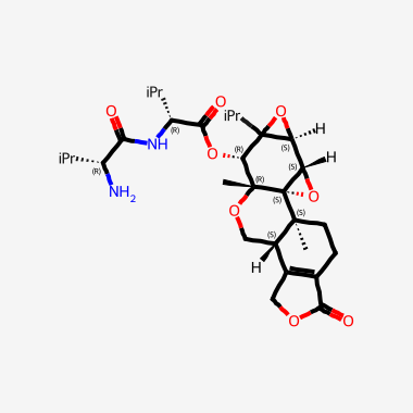 CC(C)[C@@H](N)C(=O)N[C@@H](C(=O)O[C@@H]1C2(C(C)C)O[C@H]2[C@@H]2O[C@@]23[C@@]2(C)CCC4=C(COC4=O)[C@@H]2CO[C@]13C)C(C)C